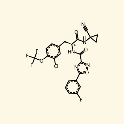 N#CC1(NC(=O)[C@H](Cc2ccc(OC(F)(F)F)c(Cl)c2)NC(=O)c2noc(-c3cccc(F)c3)n2)CC1